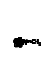 CCCCCCCC1=Nc2cccc(Cl)c2S(=O)(=O)N1